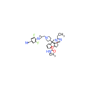 CCc1nccn1C[C@@](c1ccccc1)(C1CCN(CC2CN(c3c(F)cc(C#N)cc3F)C2)CC1)[C@H]1CCC[C@@H]1OC(=O)NC